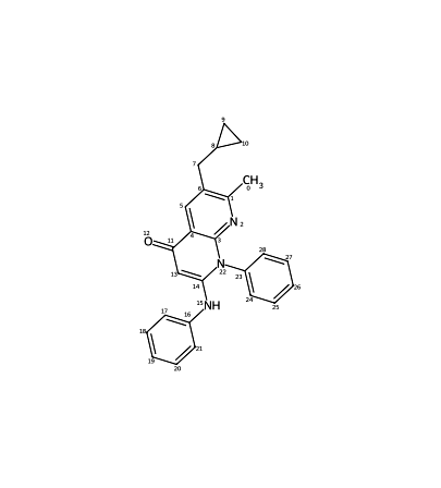 Cc1nc2c(cc1CC1CC1)c(=O)cc(Nc1ccccc1)n2-c1ccccc1